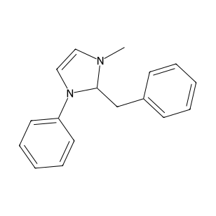 CN1C=CN(c2ccccc2)C1Cc1ccccc1